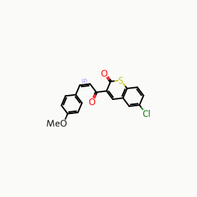 COc1ccc(/C=C\C(=O)c2cc3cc(Cl)ccc3sc2=O)cc1